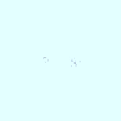 Cc1ccc(CCCCCCCCC(=O)C(=O)O)cc1